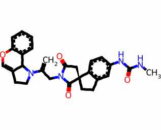 C=C(CN1C(=O)C[C@@]2(CCc3cc(NC(=O)NC)ccc32)C1=O)N1CCC2=COc3ccccc3C21